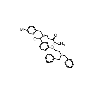 COC(=O)CCN(Cc1ccc(Br)cc1)C(=O)c1cccc(OCCN(Cc2ccccc2)Cc2ccccc2)c1